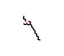 CCCCCCCCCCCC(CC)CC(CC)OCCCC